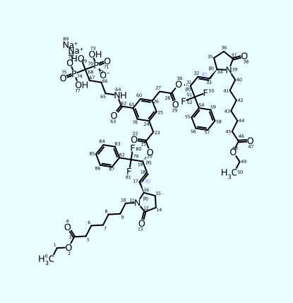 CCOC(=O)CCCCCCN1C(=O)CC[C@@H]1/C=C/[C@@H](OC(=O)Cc1cc(CC(=O)O[C@H](/C=C/[C@H]2CCC(=O)N2CCCCCCC(=O)OCC)C(F)(F)c2ccccc2)cc(C(=O)NCCCC(O)(P(=O)([O-])O)P(=O)([O-])O)c1)C(F)(F)c1ccccc1.[Na+].[Na+]